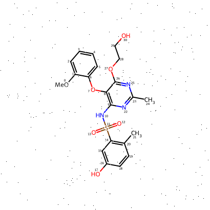 COc1ccccc1Oc1c(NS(=O)(=O)c2cc(O)ccc2C)nc(C)nc1OCCO